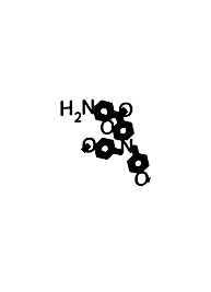 COc1ccc(CN(Cc2ccc(OC)cc2)c2ccc3c(=O)c4ccc(N)cc4oc3c2)cc1